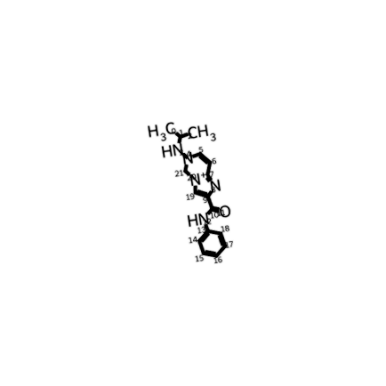 CC(C)NN1C=CC2=NC(C(=O)Nc3ccccc3)=C[N+]2C1